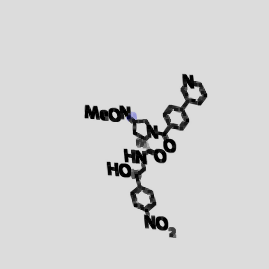 CO/N=C1\C[C@@H](C(=O)NC[C@@H](O)c2ccc([N+](=O)[O-])cc2)N(C(=O)c2ccc(-c3cccnc3)cc2)C1